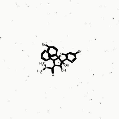 CN(C)C(=O)C1C(O)C2(O)c3ccc(Br)cc3SC2(c2ccc(Br)cc2)C1c1ccccc1